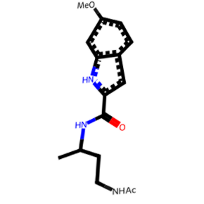 COc1ccc2cc(C(=O)NC(C)CCNC(C)=O)[nH]c2c1